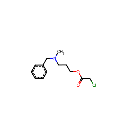 CN(CCCOC(=O)CCl)Cc1ccccc1